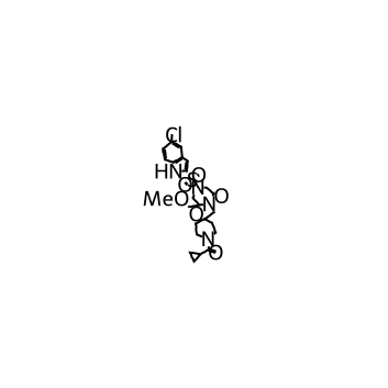 COCC12CN(S(=O)(=O)c3cc4cc(Cl)ccc4[nH]3)CC(=O)N1CC1(CCN(C(=O)C3CC3)CC1)O2